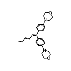 CC/C=C/C=C(c1ccc(N2CCOCC2)cc1)c1ccc(N2CCOCC2)cc1